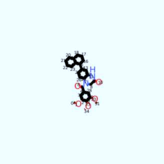 COc1cc(C(=O)N2CC(=O)Nc3cc(-c4cccc5ccccc45)ccc32)cc(OC)c1OC